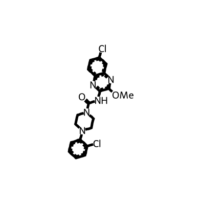 COc1nc2cc(Cl)ccc2nc1NC(=O)N1CCN(c2ccccc2Cl)CC1